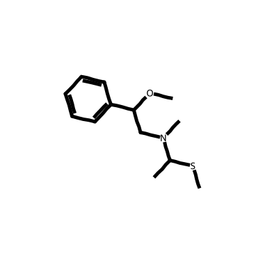 COC(CN(C)C(C)SC)c1ccccc1